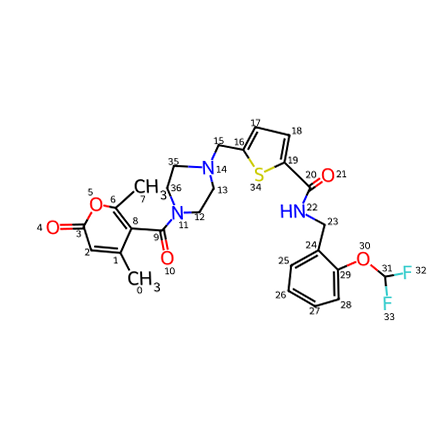 Cc1cc(=O)oc(C)c1C(=O)N1CCN(Cc2ccc(C(=O)NCc3ccccc3OC(F)F)s2)CC1